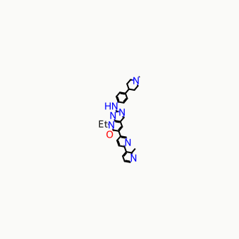 CCn1c(=O)c(-c2ccc(-c3cccnc3C)nc2)cc2cnc(Nc3ccc(C4CCN(C)CC4)cc3)nc21